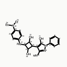 CCCc1nn(-c2ccccc2)c(O)c1C1C(O)C(Nc2ccc(N(CC)CC)cc2)C1O